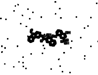 CCn1c2ccccc2c2cc(NC(=O)c3cc4ccccc4c(/N=N/c4cccc5c(O)cc(S(=O)(=O)O)cc45)c3O)ccc21